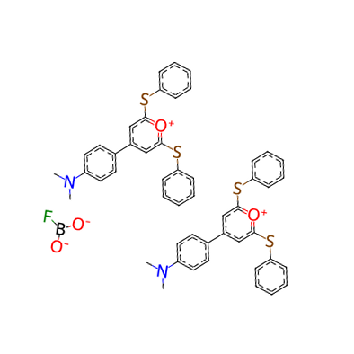 CN(C)c1ccc(-c2cc(Sc3ccccc3)[o+]c(Sc3ccccc3)c2)cc1.CN(C)c1ccc(-c2cc(Sc3ccccc3)[o+]c(Sc3ccccc3)c2)cc1.[O-]B([O-])F